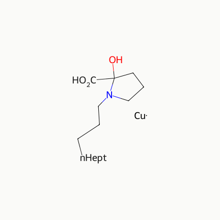 CCCCCCCCCCN1CCCC1(O)C(=O)O.[Cu]